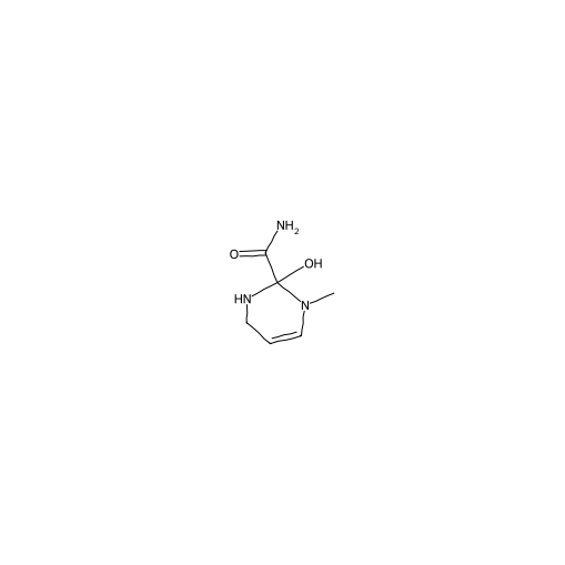 CN1C=CCNC1(O)C(N)=O